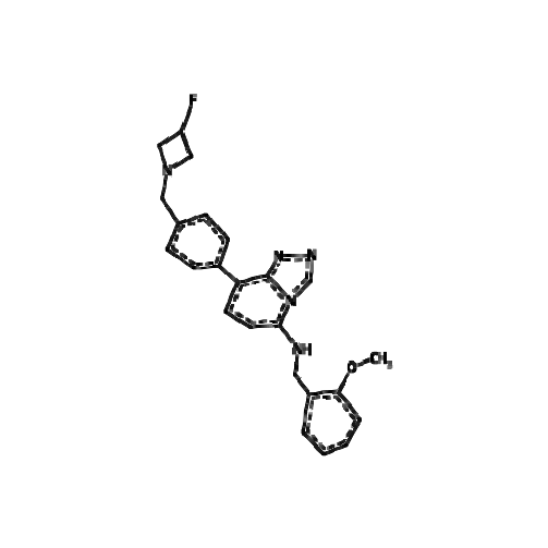 COc1ccccc1CNc1ccc(-c2ccc(CN3CC(F)C3)cc2)c2nncn12